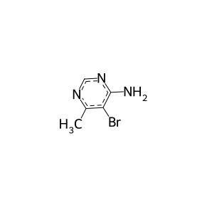 Cc1ncnc(N)c1Br